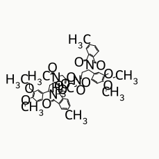 CCOc1cc(C(CC(=O)N(CC(=O)ON(C(C)=O)C(=O)CC(c2ccc(OC)c(OCC)c2)N2C(=O)c3ccc(C)cc3C2=O)C(C)=O)N2C(=O)c3ccc(C)cc3C2=O)ccc1OC